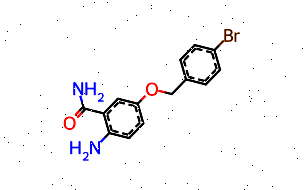 NC(=O)c1cc(OCc2ccc(Br)cc2)ccc1N